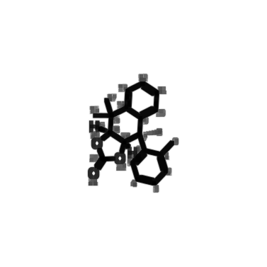 Cc1ccccc1[C@]1(C)c2ccccc2C(C)(C)[C@H]2OC(=O)O[C@H]21